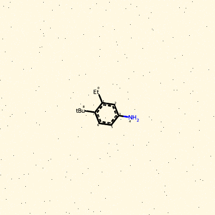 CCc1cc(N)ccc1C(C)(C)C